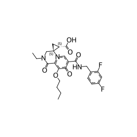 CCCCOc1c2n(cc(C(=O)NCc3ccc(F)cc3F)c1=O)[C@]1(C[C@@H]1C(=O)O)CN(CC)C2=O